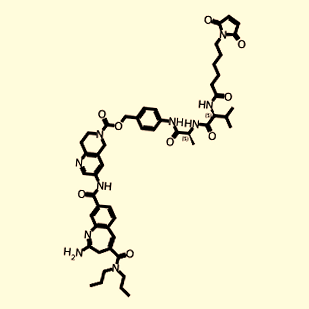 CCCN(CCC)C(=O)C1=Cc2ccc(C(=O)Nc3cnc4c(c3)CN(C(=O)OCc3ccc(NC(=O)[C@H](C)NC(=O)[C@@H](NC(=O)CCCCCN5C(=O)C=CC5=O)C(C)C)cc3)CC4)cc2N=C(N)C1